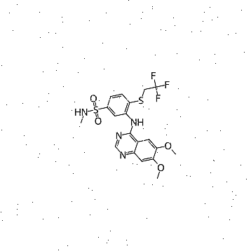 CNS(=O)(=O)c1ccc(SCC(F)(F)F)c(Nc2ncnc3cc(OC)c(OC)cc23)c1